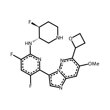 COc1cc2ncc(-c3nc(N[C@H]4CNCC[C@@H]4F)c(F)cc3F)n2nc1C1CCO1